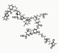 Cc1c(-c2ccc(N3CCc4cccc(C(=O)Nc5nc6ccccc6s5)c4C3)nc2C(=O)O)cnn1CC12CC3CC(C)(C1)CC(OCCN(CCCC(=O)O)C1CCN(C(=O)OCc4ccc(O[C@H]5C[C@@H](O)C[C@@H](C(=O)O)O5)cc4OCCOCCNC(=O)CCN4C(=O)C=CC4=O)CC1)(C3)C2